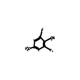 N#Cc1c(F)cc(C(F)(F)F)cc1F